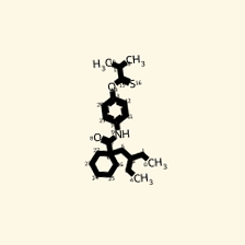 CCC(CC)CC1(C(=O)Nc2ccc(OC(=S)C(C)C)cc2)CCCCC1